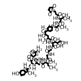 C=C(c1ccc(NC(=O)[C@H](C)NC(=O)C(NC(=O)CCN2C(=O)C=CC2=O)C(C)C)cc1)[C@H](O)CC(N)C(=O)NC(C(=O)NCC(=O)NCC(=O)NC(C(=O)NCC(=O)N[C@H](CSc1[nH]c2cc(O)ccc2c1C)C(=O)NC(CC(N)=O)C(C)=O)C(C)CC)[C@@H](C)C(O)CO